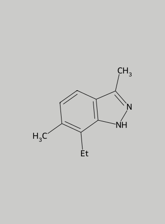 CCc1c(C)ccc2c(C)n[nH]c12